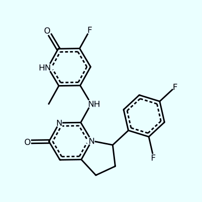 Cc1[nH]c(=O)c(F)cc1Nc1nc(=O)cc2n1C(c1ccc(F)cc1F)CC2